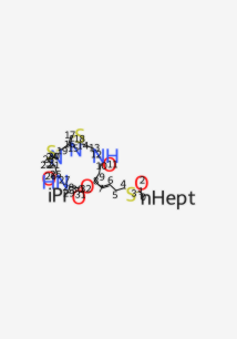 CCCCCCCC(=O)SCC/C=C/C1CC(=O)NCc2nc(cs2)C2=NC(C)(CS2)C(=O)NC(C(C)C)C(=O)O1